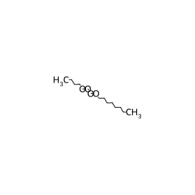 CCCCCCCCOOOOCCCC